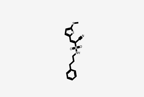 CSc1ccc(C=C(C#N)S(=O)(=O)NCCCc2ccccc2)s1